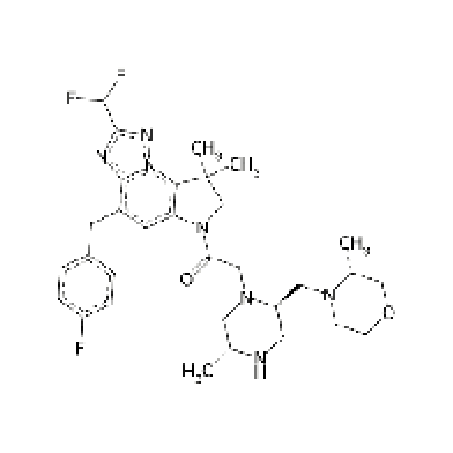 C[C@@H]1CN(CC(=O)N2CC(C)(C)c3c2cc(Cc2ccc(F)cc2)c2nc(C(F)F)nn32)[C@@H](CN2CCOC[C@H]2C)CN1